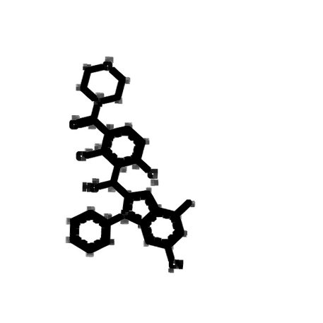 Cc1cc(C#N)cc2c1cc(C(O)c1c(Cl)ccc(C(=O)N3CCOCC3)c1Cl)n2-c1ccccc1